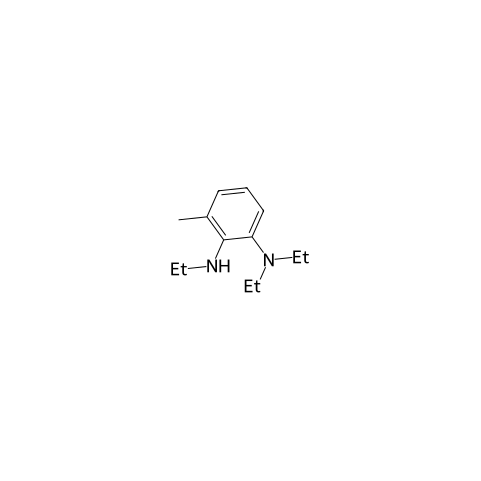 CCNc1c(C)cccc1N(CC)CC